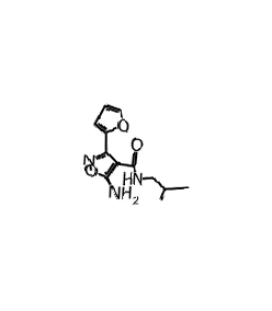 CC(C)CNC(=O)c1c(-c2ccco2)noc1N